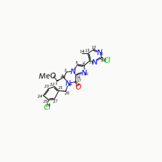 COC[C@H]1Cn2cc(-c3nc(Cl)ncc3C)nc2C(=O)N1Cc1cccc(Cl)c1